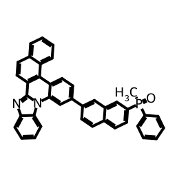 CP(=O)(c1ccccc1)c1ccc2ccc(-c3ccc4c5c6ccccc6ccc5c5nc6ccccc6n5c4c3)cc2c1